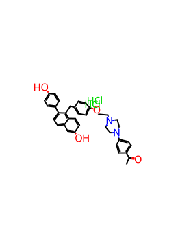 CC(=O)c1ccc(N2CCN(CCOc3ccc(Cc4c(-c5ccc(O)cc5)ccc5cc(O)ccc45)cc3)CC2)cc1.Cl.Cl